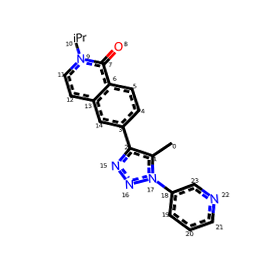 Cc1c(-c2ccc3c(=O)n(C(C)C)ccc3c2)nnn1-c1cccnc1